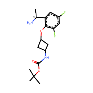 C[C@H](N)c1cc(F)cc(F)c1OC1CC(NC(=O)OC(C)(C)C)C1